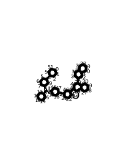 c1ccc(-c2cccc(N(c3ccccc3)c3ccc(-c4ccc5oc6c7ccccc7c(-c7ccc8ccccc8c7)cc6c5c4)cc3)c2)cc1